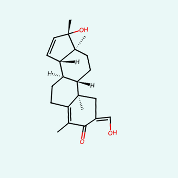 CC1=C2CC[C@@H]3[C@H](CC[C@@]4(C)[C@H]3C=C[C@]4(C)O)[C@@]2(C)C/C(=C/O)C1=O